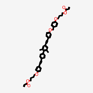 C=CC(=O)OCCCCOc1ccc(C#Cc2ccc(-c3c(C)cc(C#Cc4ccc(OCc5ccc(OCCCCOC(=O)C=C)cc5)cc4)cc3C)cc2)cc1